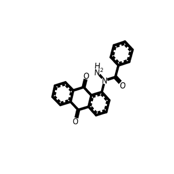 NN(C(=O)c1ccccc1)c1cccc2c1C(=O)c1ccccc1C2=O